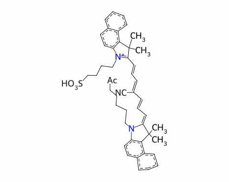 CC(=O)CCCCCN1\C(=C/C=C/C(C#N)=C/C=C/C2=[N+](CCCCS(=O)(=O)O)c3ccc4ccccc4c3C2(C)C)C(C)(C)c2c1ccc1ccccc21